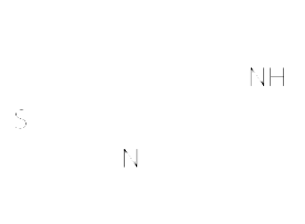 [NH]Cc1cscn1